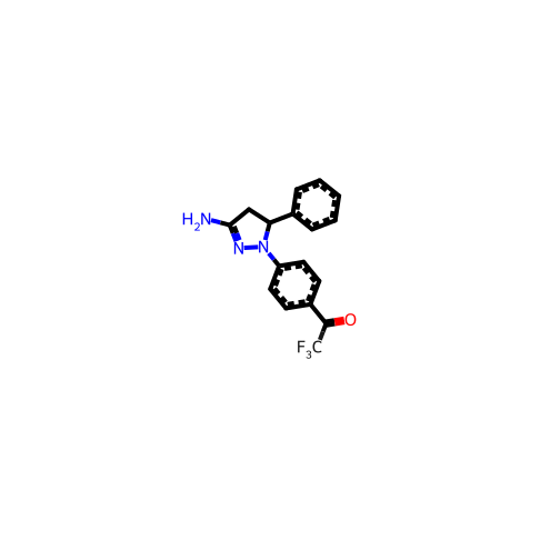 NC1=NN(c2ccc(C(=O)C(F)(F)F)cc2)C(c2ccccc2)C1